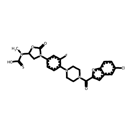 CN(C(O)=S)C1CN(c2ccc(N3CCN(C(=O)c4cc5cc(Cl)ccc5o4)CC3)c(F)c2)C(=O)O1